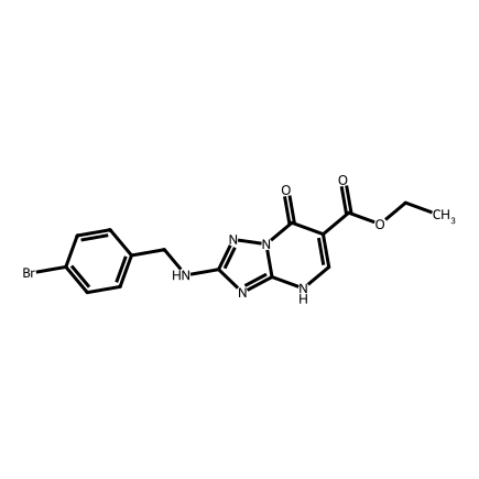 CCOC(=O)c1c[nH]c2nc(NCc3ccc(Br)cc3)nn2c1=O